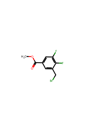 COC(=O)c1cc(F)c(F)c(CBr)c1